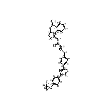 CC1C=C2CS/C(=N\C(=O)NOCc3ccc(-c4ncn(-c5ccc(OC(F)(F)F)cc5)n4)cc3)N2c2ccccc21